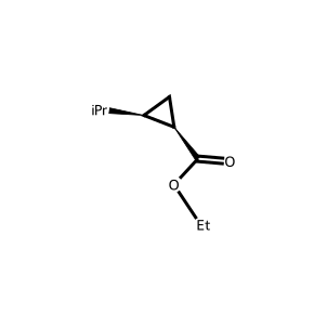 CCOC(=O)[C@@H]1C[C@@H]1C(C)C